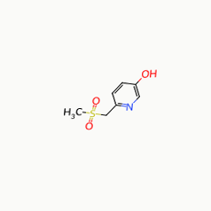 CS(=O)(=O)Cc1ccc(O)cn1